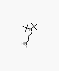 CNCCCN(C(C)(C)C)C(C)(C)C